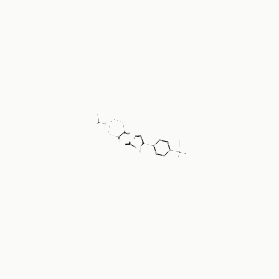 CC(=O)N1CCc2c(sc3nc(-c4ccc(C(F)(F)F)cc4)cn23)C1